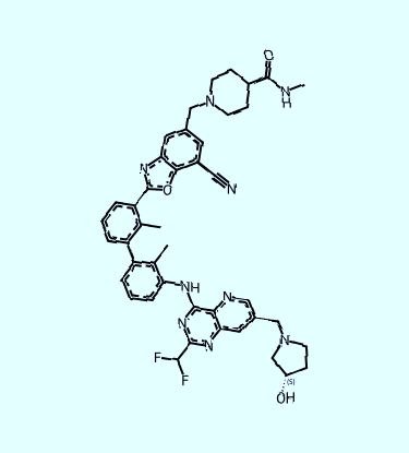 CNC(=O)C1CCN(Cc2cc(C#N)c3oc(-c4cccc(-c5cccc(Nc6nc(C(F)F)nc7cc(CN8CC[C@H](O)C8)cnc67)c5C)c4C)nc3c2)CC1